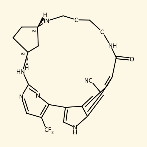 N#Cc1c2ccc3c(c[nH]c13)-c1nc(ncc1C(F)(F)F)N[C@H]1CC[C@@H](C1)NCCCCNC2=O